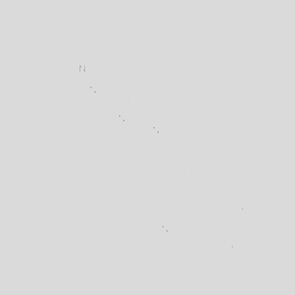 CCOc1cn(CC(C)=O)nc1C(=O)Nc1ccc(Oc2ccnc3cc(OC)c(OC)cc23)cn1